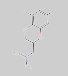 CN(C)CC1COc2c(F)cc(F)cc2O1